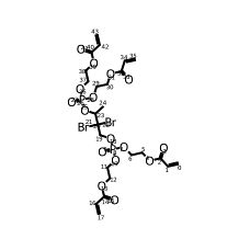 C=CC(=O)OCCOP(=O)(OCCOC(=O)C=C)OCC(Br)(Br)C(C)OP(=O)(OCCOC(=O)C=C)OCCOC(=O)C=C